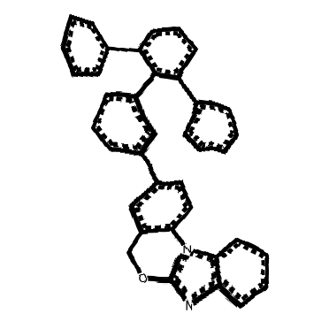 c1ccc(-c2cccc(-c3ccccc3)c2-c2cccc(-c3ccc4c(c3)COc3nc5ccccc5n3-4)c2)cc1